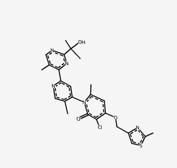 Cc1nc(COc2cc(C)n(-c3cc(-c4nc(C(C)(C)O)ncc4C)ncc3C)c(=O)c2Cl)cs1